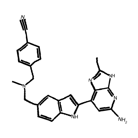 Cc1nc2c(-c3cc4cc(CN(C)Cc5ccc(C#N)cc5)ccc4[nH]3)cc(N)nc2[nH]1